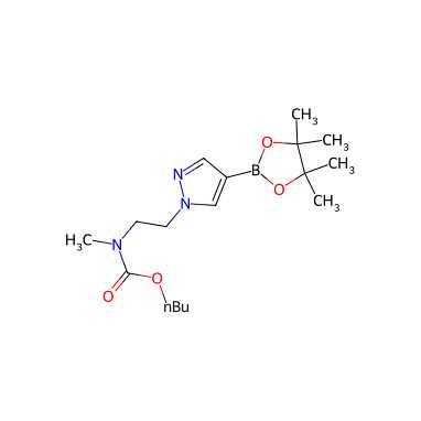 CCCCOC(=O)N(C)CCn1cc(B2OC(C)(C)C(C)(C)O2)cn1